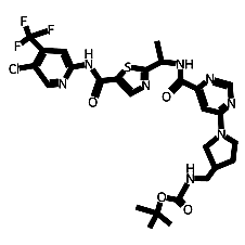 CC(NC(=O)c1cc(N2CCC(CNC(=O)OC(C)(C)C)C2)ncn1)c1ncc(C(=O)Nc2cc(C(F)(F)F)c(Cl)cn2)s1